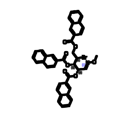 CO/N=C/[C@H](OC(=O)c1ccc2ccccc2c1)[C@@H](OC(=O)c1ccc2ccccc2c1)[C@H](Br)COC(=O)c1ccc2ccccc2c1